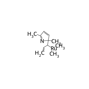 C=C[CH]([Ru]([CH3])[CH3])C1(C)C=CC(C)=N1